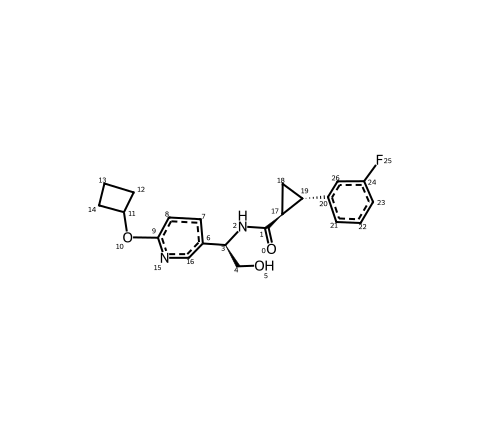 O=C(N[C@@H](CO)c1ccc(OC2CCC2)nc1)[C@H]1C[C@@H]1c1cccc(F)c1